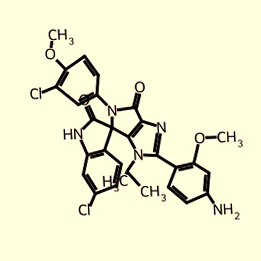 COc1ccc(N2C(=O)c3nc(-c4ccc(N)cc4OC)n(C(C)C)c3C23C(=O)Nc2cc(Cl)ccc23)cc1Cl